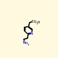 NCCc1ccc(CC(=O)O)cn1